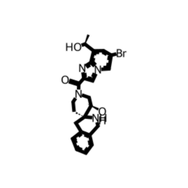 C[C@H](O)c1cc(Br)cn2cc(C(=O)N3CC[C@]4(Cc5ccccc5CN4)[C@H](O)C3)nc12